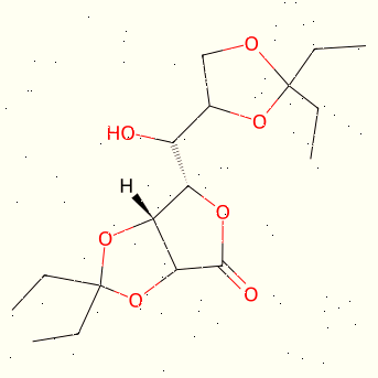 CCC1(CC)OCC(C(O)[C@@H]2OC(=O)C3OC(CC)(CC)O[C@@H]32)O1